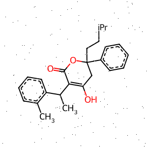 Cc1ccccc1C(C)C1=C(O)CC(CCC(C)C)(c2ccccc2)OC1=O